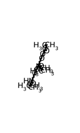 CC(C)COC(=O)CCOCCOCCCCCN(COCCOCCCCCNC(=O)OC(C)(C)C)C(=O)OC(C)(C)C